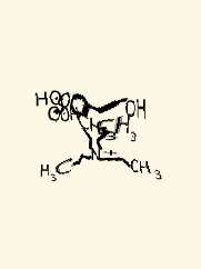 CCCC[N+](CCCC)(CCCC)CCCC.O=S(=O)(O)O.OCC#Cc1ccccc1